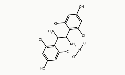 NC(c1c(Cl)cc(O)cc1Cl)C(N)c1c(Cl)cc(O)cc1Cl.[Cl][Pt][Cl]